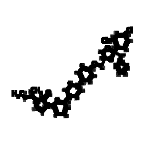 CCC(C)n1ncn(-c2cccc(N3CCN(c4ccc(OC[C@@H]5CO[C@@](Cn6nccn6)(c6ccc(Cl)cc6Cl)O5)cc4)CC3)c2)c1=O